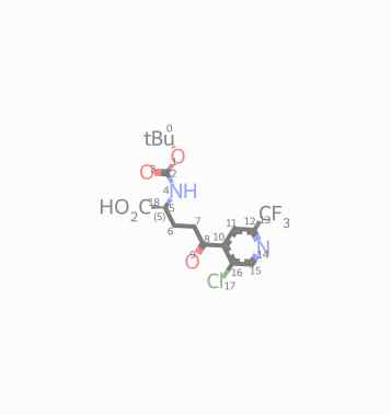 CC(C)(C)OC(=O)N[C@@H](CCC(=O)c1cc(C(F)(F)F)ncc1Cl)C(=O)O